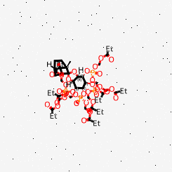 CCC(=O)OCOP(=O)(OCOC(=O)CC)O[C@H]1[C@H](OP(=O)(OCOC(=O)CC)OCOC(=O)CC)[C@@H](OP(=O)(OCOC(=O)CC)OCOC(=O)CC)[C@H]2OC3(O[C@H]2[C@@H]1OP(=O)(OCOC(=O)CC)OCOC(=O)CC)C1C[C@@H]2CC[C@@]3(C)C12C